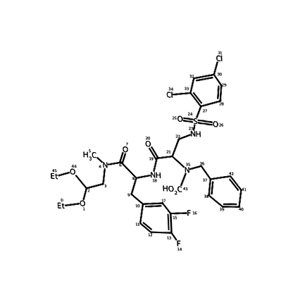 CCOC(CN(C)C(=O)C(Cc1ccc(F)c(F)c1)NC(=O)C(CNS(=O)(=O)c1ccc(Cl)cc1Cl)N(Cc1ccccc1)C(=O)O)OCC